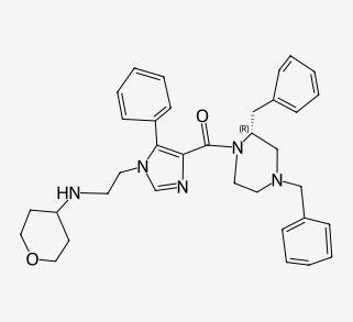 O=C(c1ncn(CCNC2CCOCC2)c1-c1ccccc1)N1CCN(Cc2ccccc2)C[C@H]1Cc1ccccc1